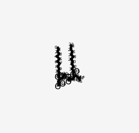 CCCCCCCCCCC=COC(CC(=O)[O-])C[N+](C)(C)C.CCCCCCCCCCCC(=O)OC(CC(=O)[O-])C[N+](C)(C)C